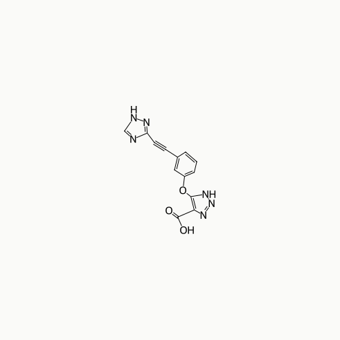 O=C(O)c1nn[nH]c1Oc1cccc(C#Cc2nc[nH]n2)c1